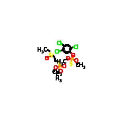 CC[S+]([O-])CCSP(=O)(OC)OC.COP(=S)(OC)Oc1cc(Cl)c(Cl)cc1Cl